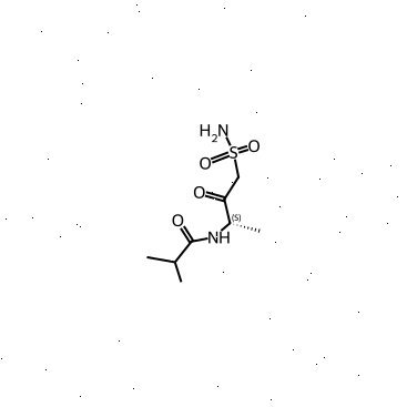 CC(C)C(=O)N[C@@H](C)C(=O)CS(N)(=O)=O